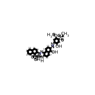 CCS(=O)(=O)c1cc(O)c(/N=N/c2ccc3c(/N=N/c4ccc5ccccc5c4S(=O)(=O)O)c(NC)ccc3c2O)cc1OC